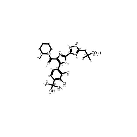 C[C@H]1CCCCN1C(=O)c1nc(-c2noc(CC(C)(C)C(=O)O)n2)sc1-c1ccc(C(O)(C(F)(F)F)C(F)(F)F)c(Cl)c1Cl